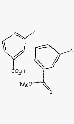 COC(=O)c1cccc(I)c1.O=C(O)c1cccc(I)c1